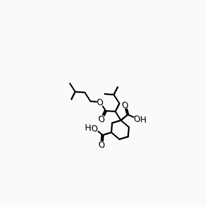 CC(C)CCOC(=O)C(CC(C)C)C1(C(=O)O)CCCC(C(=O)O)C1